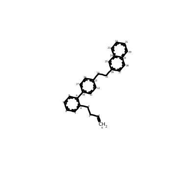 C=CCCc1ccccc1-c1ccc(CCc2ccc3ccccc3c2)cc1